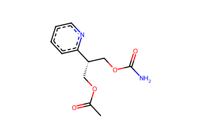 CC(=O)OC[C@@H](COC(N)=O)c1ccccn1